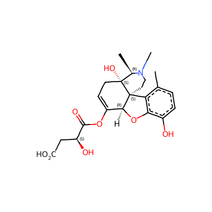 Cc1ccc(O)c2c1[C@]13CCN(C)[C@H](C)[C@]1(O)CC=C(OC(=O)[C@@H](O)CC(=O)O)[C@@H]3O2